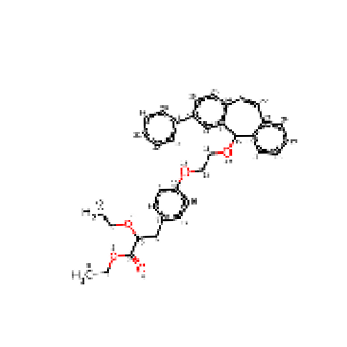 CCOC(=O)C(Cc1ccc(OCCOC2c3ccccc3C=Cc3ccc(-c4ccccc4)cc32)cc1)OCC